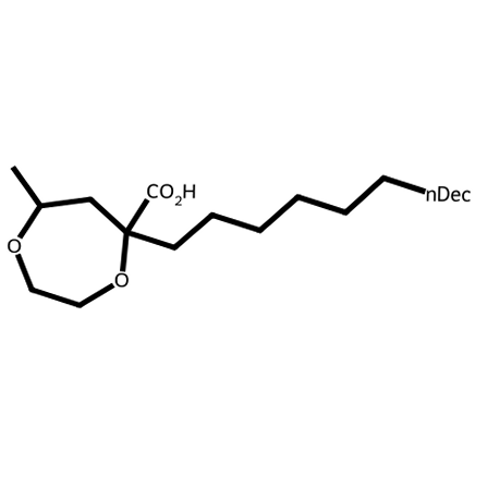 CCCCCCCCCCCCCCCCC1(C(=O)O)CC(C)OCCO1